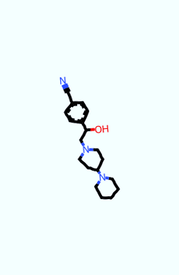 N#Cc1ccc(C(O)CN2CCC(N3CCCCC3)CC2)cc1